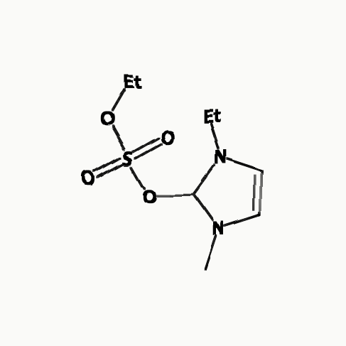 CCOS(=O)(=O)OC1N(C)C=CN1CC